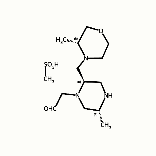 CS(=O)(=O)O.C[C@@H]1CN(CC=O)[C@@H](CN2CCOC[C@H]2C)CN1